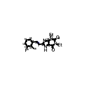 CCn1c(=O)c2[nH]c(/C=C/c3cccc(F)c3C)nc2n(CC)c1=O